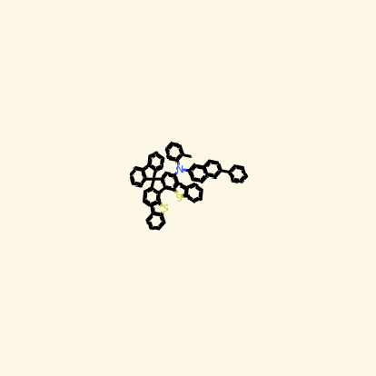 Cc1ccccc1N(c1ccc2cc(-c3ccccc3)ccc2c1)c1cc2c(c3sc4ccccc4c13)-c1c(ccc3c1sc1ccccc13)C21c2ccccc2-c2ccccc21